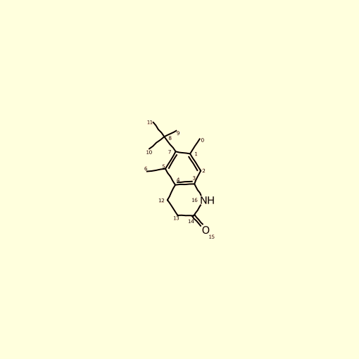 Cc1cc2c(c(C)c1C(C)(C)C)CCC(=O)N2